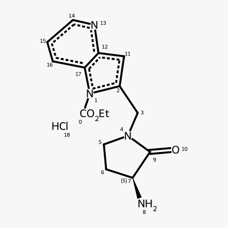 CCOC(=O)n1c(CN2CC[C@H](N)C2=O)cc2ncccc21.Cl